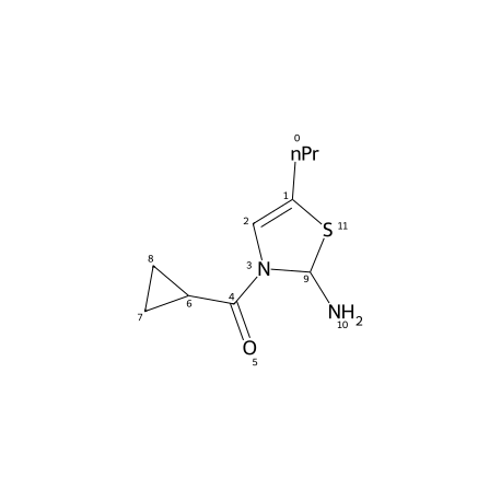 CCCC1=CN(C(=O)C2CC2)C(N)S1